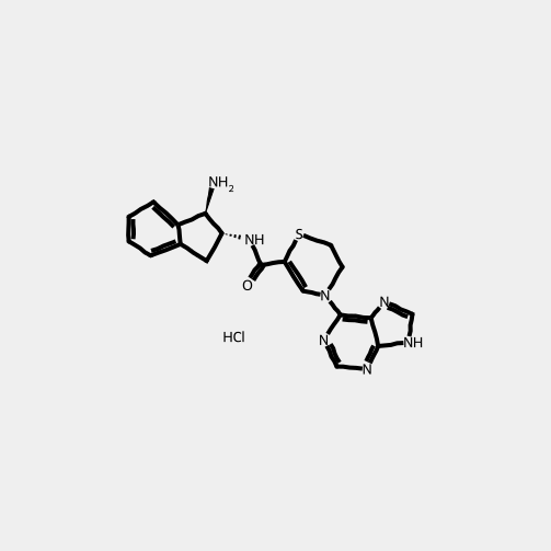 Cl.N[C@@H]1c2ccccc2C[C@H]1NC(=O)C1=CN(c2ncnc3[nH]cnc23)CCS1